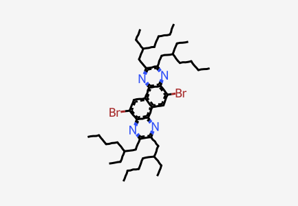 CCCCC(CC)Cc1nc2c(Br)cc3c(cc(Br)c4nc(CC(CC)CCCC)c(CC(CC)CCCC)nc43)c2nc1CC(CC)CCCC